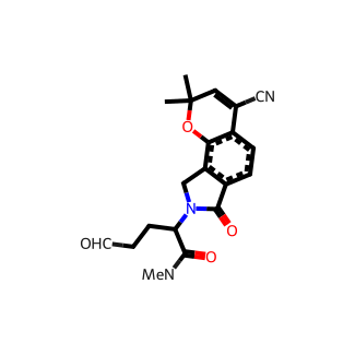 CNC(=O)C(CCC=O)N1Cc2c(ccc3c2OC(C)(C)C=C3C#N)C1=O